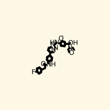 COc1cc(C(O)N2CCOCC2)ccc1Nc1nc2ccc(-c3ccc(NC(=O)Cc4ccc(F)cc4)cc3)cn2n1